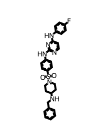 O=S(=O)(c1ccc(Nc2nccc(Nc3ccc(F)cc3)n2)cc1)N1CCC(NCc2ccccc2)CC1